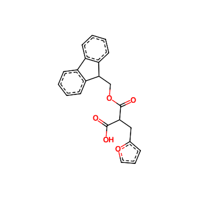 O=C(O)C(Cc1ccco1)C(=O)OCC1c2ccccc2-c2ccccc21